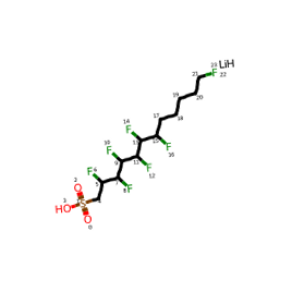 O=S(=O)(O)CC(F)C(F)C(F)C(F)C(F)C(F)CCCCCF.[LiH]